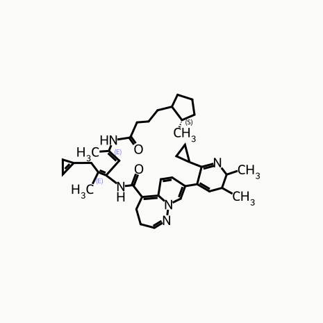 C/C(=C\C(NC(=O)C1=C2C=CC(C3=CC(C)C(C)N=C3C3CC3)=CN2N=CCC1)=C(\C)CC1=CC1)NC(=O)CCCC1CCC[C@@H]1C